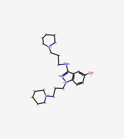 Oc1ccc2c(c1)c(NCCCN1CCCCC1)nn2CCCN1CCCCC1